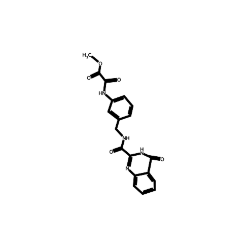 COC(=O)C(=O)Nc1cccc(CNC(=O)c2nc3ccccc3c(=O)[nH]2)c1